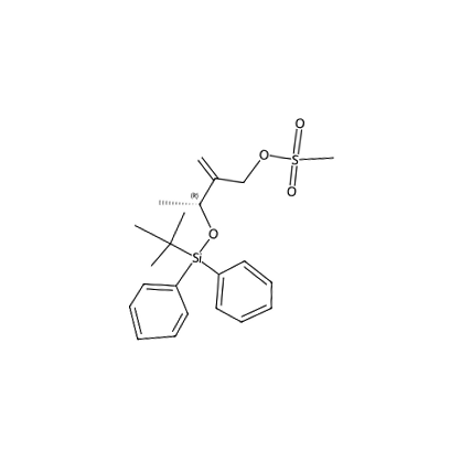 C=C(COS(C)(=O)=O)[C@@H](C)O[Si](c1ccccc1)(c1ccccc1)C(C)(C)C